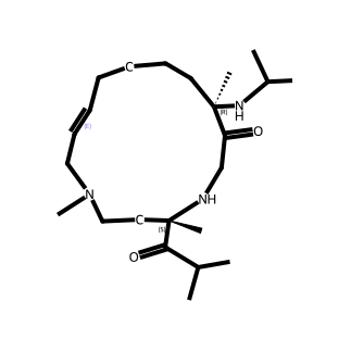 CC(C)N[C@]1(C)CCCC/C=C/CN(C)CC[C@@](C)(C(=O)C(C)C)NCC1=O